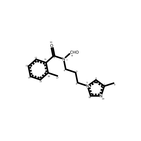 Cc1cn(CCCN(C=O)C(=O)c2ccccc2C)cn1